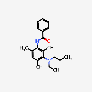 CCCN(CC)c1c(C)cc(C)c(NC(=O)c2ccccc2)c1C